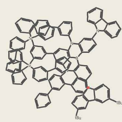 CC(C)(C)c1ccc2c(c1)c1cc(C(C)(C)C)ccc1n2-c1ccc2c(c1)N(c1ccc(-c3ccccc3)cc1-c1ccccc1)c1cc(-c3cc([Si](c4ccccc4)(c4ccccc4)c4cccc(-c5ccccc5)c4)cc([Si](c4ccccc4)(c4ccccc4)c4cccc(-c5ccccc5)c4)c3)cc3c1B2c1ccc(-n2c4ccccc4c4ccccc42)cc1N3c1cccc(-c2ccccc2)c1